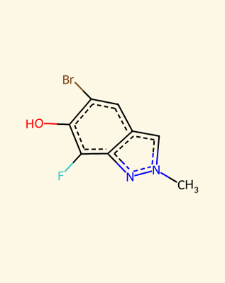 Cn1cc2cc(Br)c(O)c(F)c2n1